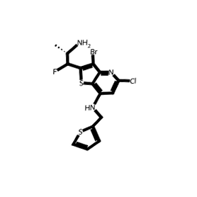 C[C@H](N)C(F)c1sc2c(NCc3cccs3)cc(Cl)nc2c1Br